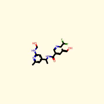 CC(=C\O)/C=C(\C=N/CC(F)F)C(=O)NC(C)c1cc(C)nc(NCO)c1